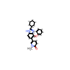 Cn1cc(-c2ccc3[nH]c(C4CCCCC4)nc3c2Oc2ccccc2)ccc1=O